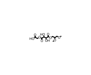 COCC(COC(=O)C(O)C(O)C(=O)OCC(=O)O)OC